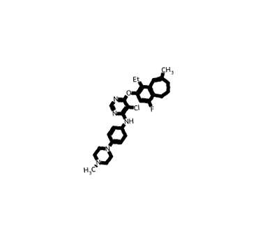 CCc1c(Oc2ncnc(NC3C=CC(N4CCN(C)CC4)=CC3)c2Cl)cc(F)c2c1C=C(C)CCC2